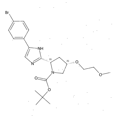 COCCO[C@H]1C[C@@H](c2ncc(-c3ccc(Br)cc3)[nH]2)N(C(=O)OC(C)(C)C)C1